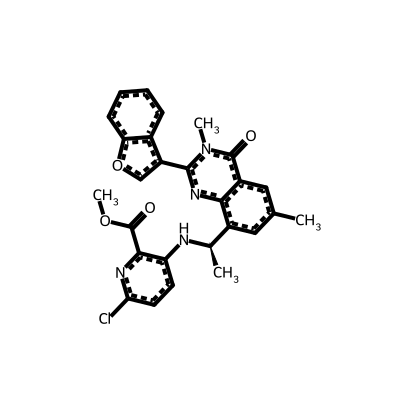 COC(=O)c1nc(Cl)ccc1N[C@H](C)c1cc(C)cc2c(=O)n(C)c(-c3coc4ccccc34)nc12